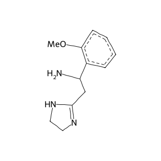 COc1ccccc1C(N)CC1=NCCN1